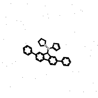 C1=CC[C]([Zr]([CH]2c3cc(-c4ccccc4)ccc3-c3ccc(-c4ccccc4)cc32)=[Si]2CCCC2)=C1